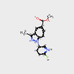 COC(=O)c1ccc2c(c1)c(C)nn2-c1ccc(F)nc1